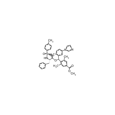 COC(=O)c1cc(C)c(C(OC(=O)[C@H](Cc2ccccc2)NS(=O)(=O)c2ccc(C)cc2)c2cc(-n3ccnc3)ccc2C)c(C)c1